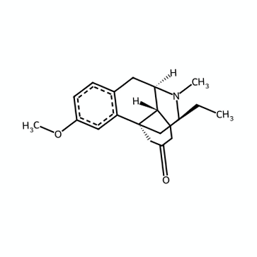 CC[C@H]1CC(=O)C[C@]23CCN(C)[C@H](Cc4ccc(OC)cc42)[C@H]13